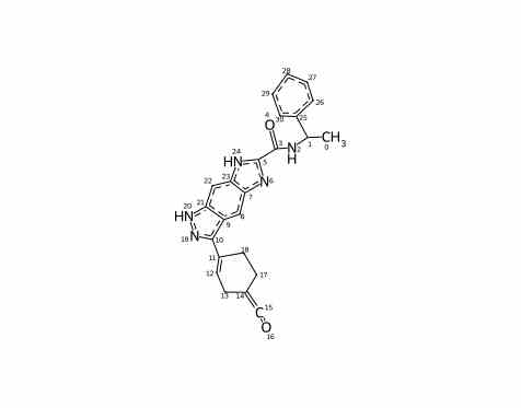 CC(NC(=O)c1nc2cc3c(C4=CCC(=C=O)CC4)n[nH]c3cc2[nH]1)c1ccccc1